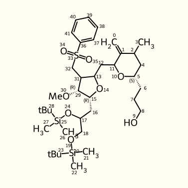 C=C1C(C)C[C@H](CCCO)OC1CC1O[C@H](CC(CO[Si](C)(C)C(C)(C)C)O[Si](C)(C)C(C)(C)C)[C@H](OC)C1CS(=O)(=O)c1ccccc1